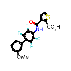 COc1cccc(-c2c(F)c(F)c(NC(=O)c3ccsc3C(=O)O)c(F)c2F)c1